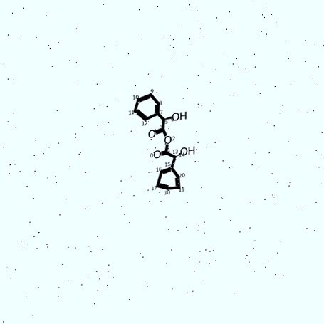 O=C(OC(=O)[C@H](O)c1ccccc1)[C@H](O)c1ccccc1